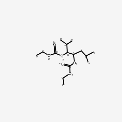 CCOC(=O)OC(CC(C)C)C(OC(=O)OCC)C(C)C